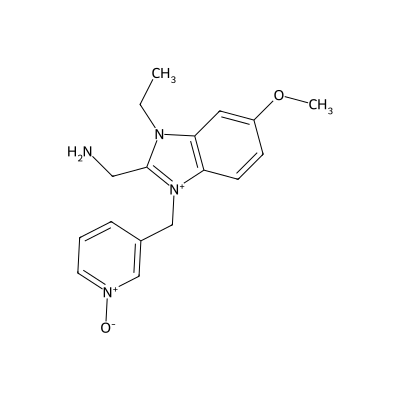 CCn1c(CN)[n+](Cc2ccc[n+]([O-])c2)c2ccc(OC)cc21